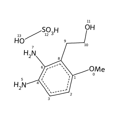 COc1ccc(N)c(N)c1CCO.O=S(=O)(O)O